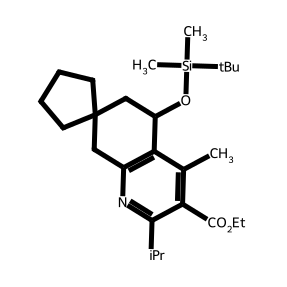 CCOC(=O)c1c(C(C)C)nc2c(c1C)C(O[Si](C)(C)C(C)(C)C)CC1(CCCC1)C2